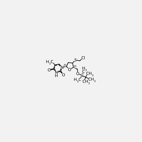 Cc1cn([C@H]2CC(SCCl)[C@@H](CO[Si](C)(C)C(C)(C)C)O2)c(=O)[nH]c1=O